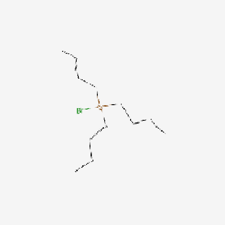 CCCCS(Br)(CCCC)CCCC